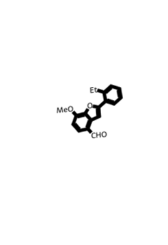 CCc1ccccc1-c1cc2c(C=O)ccc(OC)c2o1